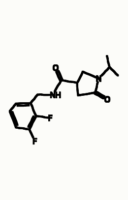 CC(C)N1CC(C(=O)NCc2cccc(F)c2F)CC1=O